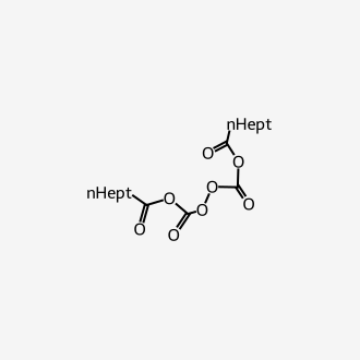 CCCCCCCC(=O)OC(=O)OOC(=O)OC(=O)CCCCCCC